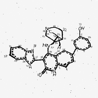 O=c1[nH]c2ccc(-c3cccc(O)c3)cc2c(N[C@@H]2CN3CCC2CC3)c1-c1nc2ccccc2[nH]1